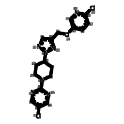 Clc1cnc(N2CCC(n3ncc(COc4ccc(Cl)nc4)n3)CC2)nc1